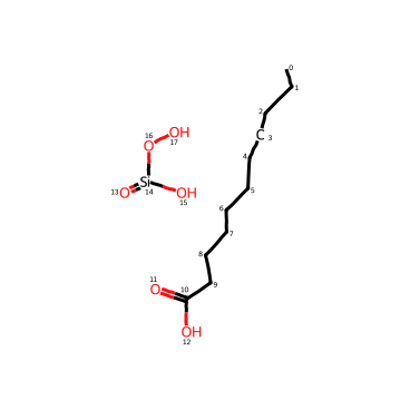 CCCCCCCCCCC(=O)O.O=[Si](O)OO